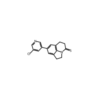 S=C1CCc2cc(-c3cncc(Cl)c3)cc3c2N1CC3